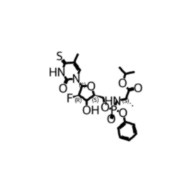 Cc1cn([C@H]2O[C@@H](COP(=O)(N[C@@H](C)C(=O)OC(C)C)Oc3ccccc3)C(O)[C@H]2F)c(=O)[nH]c1=S